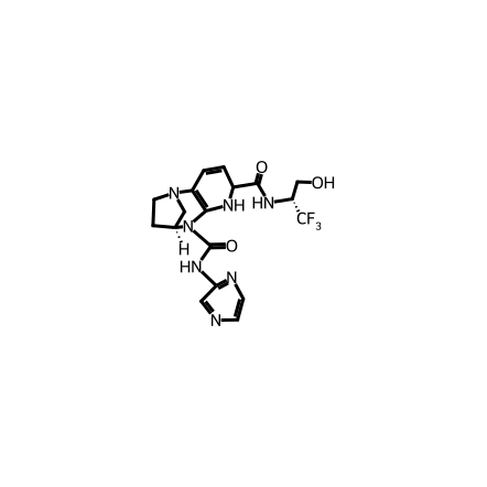 O=C(N[C@H](CO)C(F)(F)F)C1C=CC2=C(N1)N(C(=O)Nc1cnccn1)[C@H]1CCN2C1